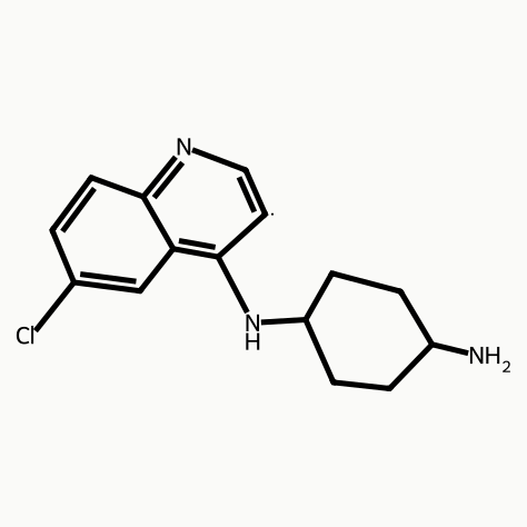 NC1CCC(Nc2[c]cnc3ccc(Cl)cc23)CC1